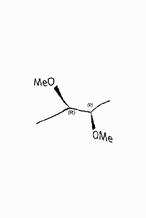 CO[C@H](C)[C@@H](C)OC